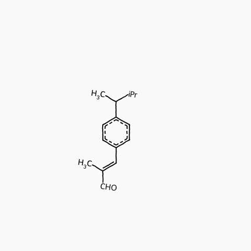 CC(C=O)=Cc1ccc(C(C)C(C)C)cc1